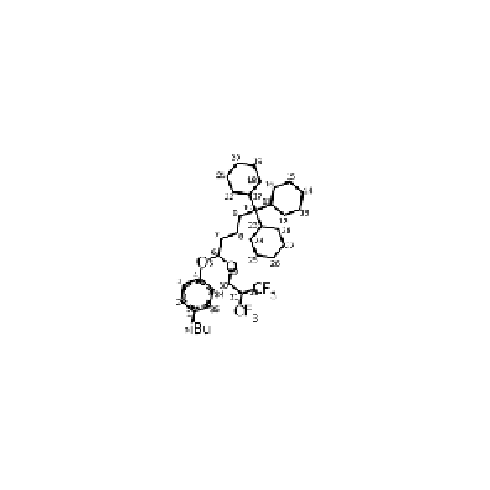 CCC(C)c1ccc(OC(CCCC(C2CCCCC2)(C2CCCCC2)C2CCCCC2)OCC(C(F)(F)F)C(F)(F)F)cc1